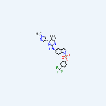 Cc1cnc(Nc2ccc3c(ccn3S(=O)(=O)Oc3ccc(C(F)(F)F)cc3)c2)nc1-c1cnn(C)c1